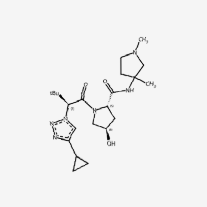 CN1CCC(C)(NC(=O)[C@@H]2C[C@@H](O)CN2C(=O)[C@@H](n2cc(C3CC3)nn2)C(C)(C)C)C1